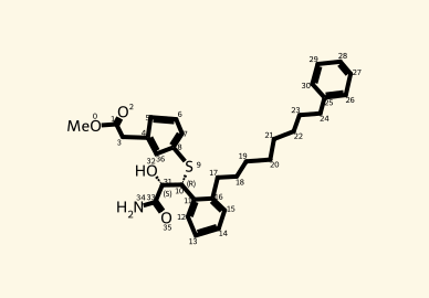 COC(=O)Cc1cccc(S[C@H](c2ccccc2CCCCCCCCc2ccccc2)[C@@H](O)C(N)=O)c1